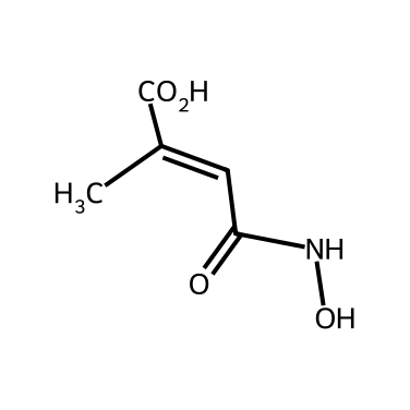 CC(=CC(=O)NO)C(=O)O